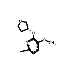 COc1ccc(I)nc1O[C@@H]1CCOC1